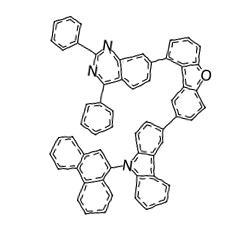 c1ccc(-c2nc(-c3ccccc3)c3ccc(-c4cccc5oc6ccc(-c7ccc8c(c7)c7ccccc7n8-c7cc8ccccc8c8ccccc78)cc6c45)cc3n2)cc1